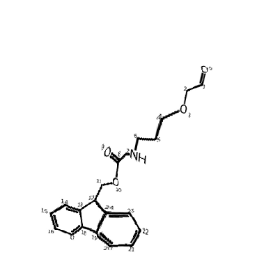 O=CCOCCCNC(=O)OCC1c2ccccc2-c2ccccc21